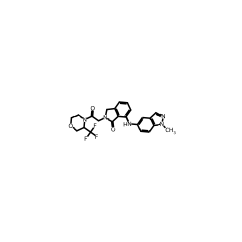 Cn1ncc2cc(Nc3cccc4c3C(=O)N(CC(=O)N3CCOCC3C(F)(F)F)C4)ccc21